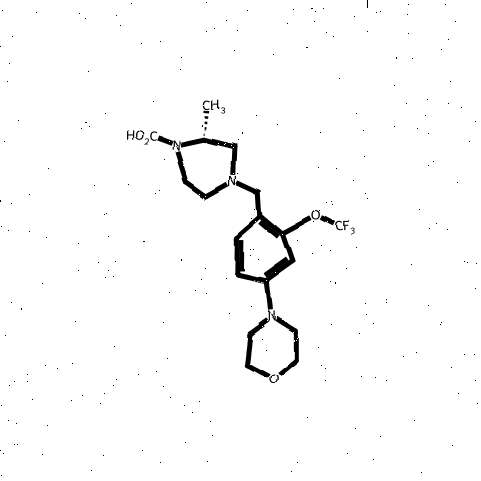 C[C@@H]1CN(Cc2ccc(N3CCOCC3)cc2OC(F)(F)F)CCN1C(=O)O